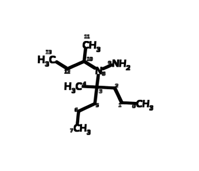 CCCC(C)(CCC)N(N)C(C)CC